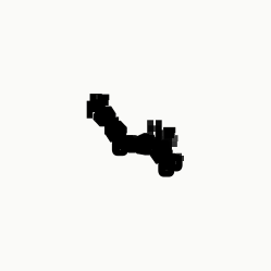 O=C(CO[C@H]1CC[C@H](Nc2ccc([N+](=O)[O-])cc2C(F)(F)F)CC1)N1CCN(c2ccc(C(F)(F)F)cc2)CC1